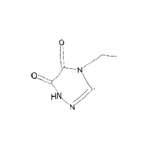 CCn1[c]n[nH]c(=O)c1=O